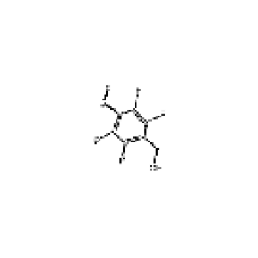 CSc1c(F)c(F)c(CO)c(F)c1F